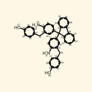 Nc1ccc(C2(c3ccc(N)c(Cc4ccc(O)cc4)c3)c3ccccc3-c3ccccc32)cc1Cc1ccc(O)cc1